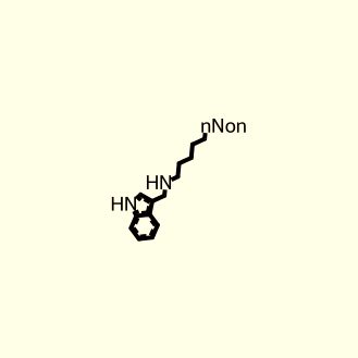 CCCCCCCCCCCCCCNCc1c[nH]c2ccccc12